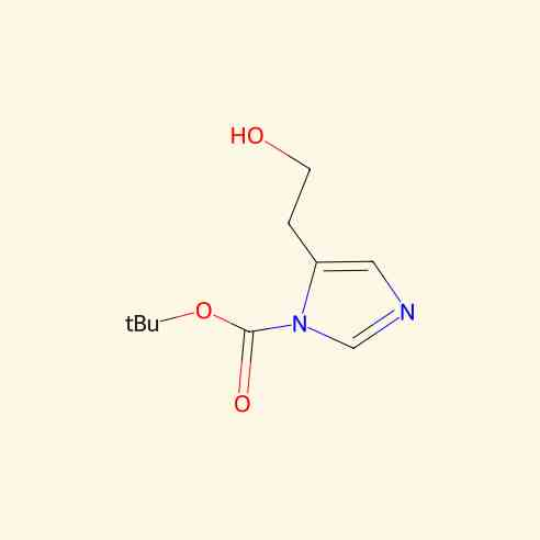 CC(C)(C)OC(=O)n1cncc1CCO